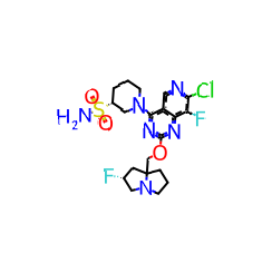 NS(=O)(=O)[C@@H]1CCCN(c2nc(OCC34CCCN3C[C@H](F)C4)nc3c(F)c(Cl)ncc23)C1